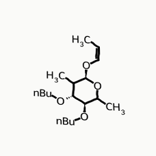 C/C=C\O[C@H]1OC(C)[C@@H](OCCCC)[C@H](OCCCC)C1C